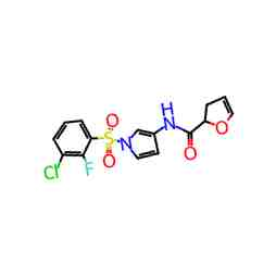 O=C(Nc1ccn(S(=O)(=O)c2cccc(Cl)c2F)c1)C1CC=CO1